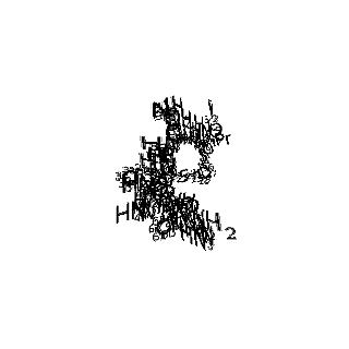 C#CCCC(=O)N[C@H](C(=O)N[C@@H]1CSCc2ccccc2CSC[C@H](C(=O)N[C@@H](Cc2ccccc2)C(=O)N[C@@H](Cc2cnc[nH]2)C(=O)N[C@@H](CCC)C(=O)N[C@@H](Cc2c[nH]c3ccccc23)C(=O)N[C@@H](Cc2cnc[nH]2)C(N)=O)NC(=O)[C@H](C)NC(=O)[C@H](CCOCN)NC1=O)C(C)C